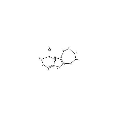 O=C1SCC=C2SC3=C(CCCCC3)N12